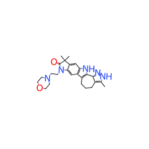 Cc1[nH]nc2c1CCCc1c-2[nH]c2cc3c(cc12)N(CCN1CCOCC1)C(=O)C3(C)C